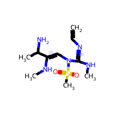 C=C/N=C(/NC)N(/C=C(\NC)C(C)N)S(C)(=O)=O